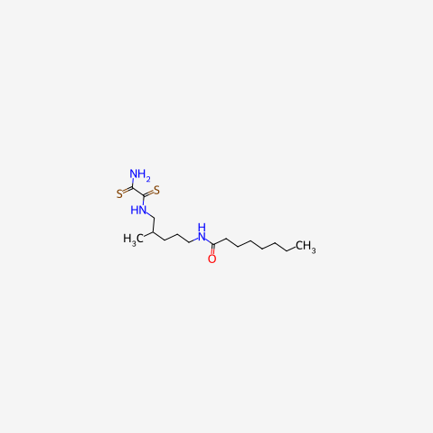 CCCCCCCC(=O)NCCCC(C)CNC(=S)C(N)=S